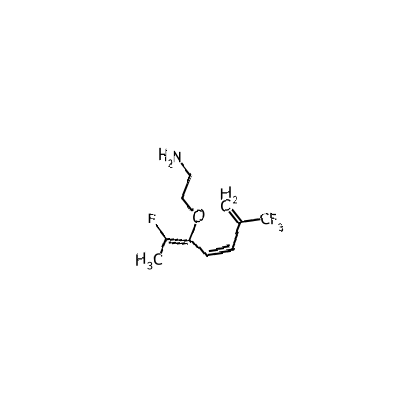 C=C(/C=C\C(OCCN)=C(/C)F)C(F)(F)F